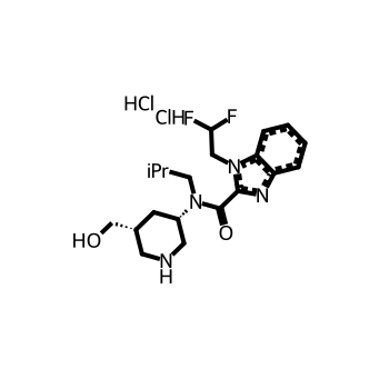 CC(C)CN(C(=O)c1nc2ccccc2n1CC(F)F)[C@@H]1CNC[C@H](CO)C1.Cl.Cl